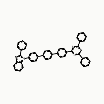 c1ccc(-c2nc(-c3ccccc3)nc(-c3ccc(-c4ccc(-c5ccc(-n6c(-c7ccccc7)nc7ccccc76)cc5)cc4)cc3)n2)cc1